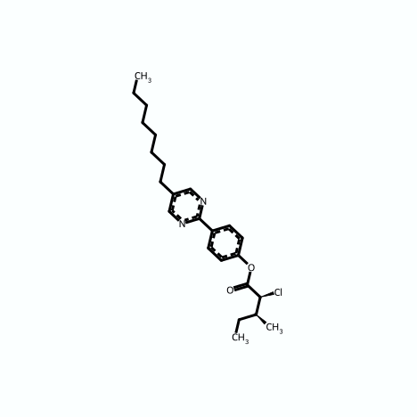 CCCCCCCCc1cnc(-c2ccc(OC(=O)[C@@H](Cl)[C@@H](C)CC)cc2)nc1